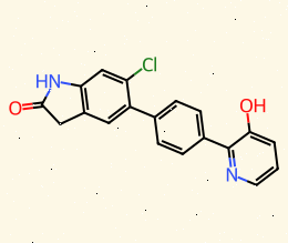 O=C1Cc2cc(-c3ccc(-c4ncccc4O)cc3)c(Cl)cc2N1